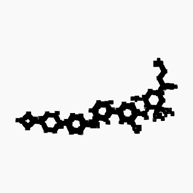 CC1(C)CN(C(=O)CCO)C[C@@H](F)[C@H]1Oc1ccc(-c2nccc(Nc3ccc(N4CCN(C5COC5)CC4)cc3)n2)cc1C#N